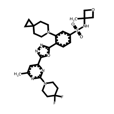 Cc1cc(-c2nnc(-c3ccc(S(=O)(=O)NC4(C)COC4)cc3N3CCC4(CC3)CC4)o2)nc(N2CCC(F)(F)CC2)n1